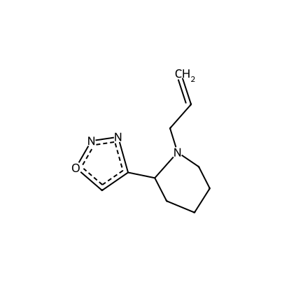 C=CCN1CCCCC1c1conn1